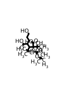 CC(C)(C)OC(=O)NC(C(=O)O)(C(C(CCCO)C(=O)O)C(C)(C)C)C(C)(C)C